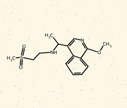 COc1ncc(C(C)NCCS(C)(=O)=O)c2ccccc12